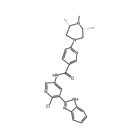 C[C@@H]1CN(c2ccc(C(=O)Nc3cnc(Cl)c(-c4nc5ccccc5[nH]4)c3)cn2)C[C@H](C)N1C